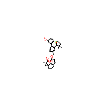 COc1ccc(F)c(-c2ccc(COc3ccc4c(c3)[C@]3(CCC4)C[C@@]3(C)C(=O)O)cc2C2=CCCC2(C)C)c1